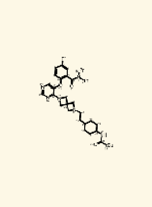 CC(C)N(C(=O)c1cc(F)ccc1Oc1cncnc1N1CC2(CN(CCC3CCC(NC(=O)C(C)(C)C)CC3)C2)C1)C(C)C